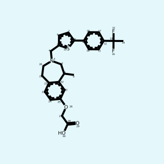 CC1CN(Cc2ccc(-c3ccc(C(C)(F)F)cc3)s2)CCc2ccc(OCC(=O)O)cc21